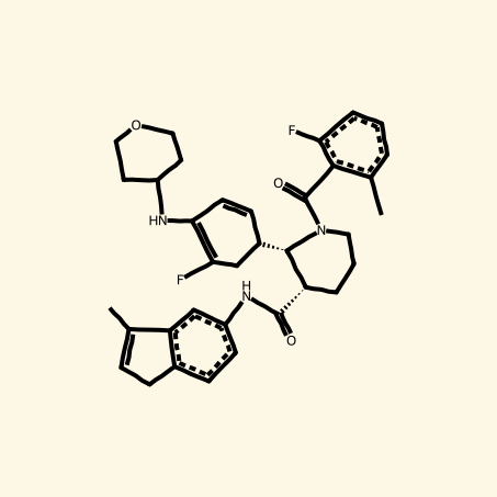 CC1=CCc2ccc(NC(=O)[C@H]3CCCN(C(=O)c4c(C)cccc4F)[C@H]3C3C=CC(NC4CCOCC4)=C(F)C3)cc21